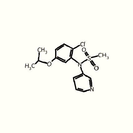 CC(C)Oc1ccc(Cl)c(N(c2cccnc2)S(C)(=O)=O)c1